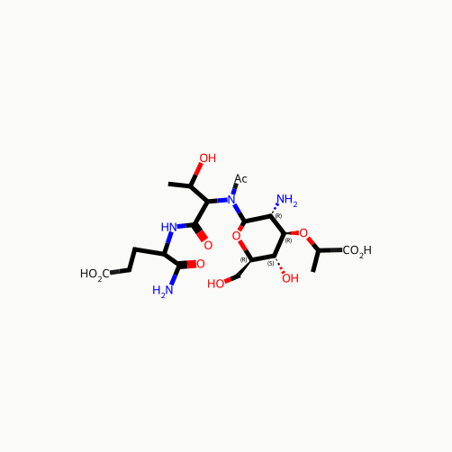 CC(=O)N(C(C(=O)NC(CCC(=O)O)C(N)=O)C(C)O)C1O[C@H](CO)[C@@H](O)[C@H](OC(C)C(=O)O)[C@H]1N